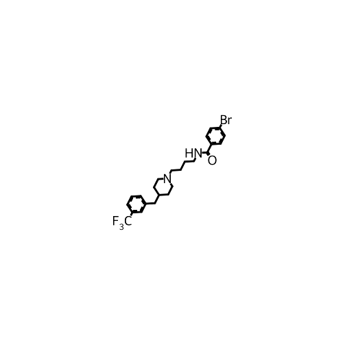 O=C(NCCCCN1CCC(Cc2cccc(C(F)(F)F)c2)CC1)c1ccc(Br)cc1